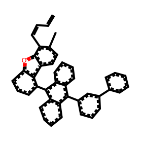 C=C/C=C\c1c(C)ccc2c1oc1cccc(-c3c4ccccc4c(-c4cccc(-c5ccccc5)c4)c4ccccc34)c12